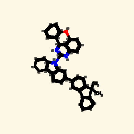 CC1(C)c2ccccc2-c2cc(-c3ccc4c5c(n(-c6nc7c8c(cccc8n6)Oc6ccccc6-7)c4c3)C=CCC5)ccc21